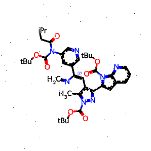 C=N/C(=C\c1c(-c2cc3cccnc3n2C(=O)OC(C)(C)C)nn(C(=O)OC(C)(C)C)c1C)c1cncc(N(C(=O)CC(C)C)C(=O)OC(C)(C)C)c1